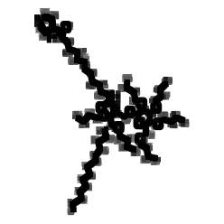 CCCCCCCCCCCCCC[C@@H](OCCCC)[C@@H](OCCCC)[C@H](CO[C@H]1OC(COCCCC)[C@H](OCCCC)[C@H](OCCCC)C1OCCCC)NC(=O)CCCCCCCCCCCNC(=O)c1ccncc1